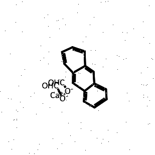 O=C[O-].O=C[O-].[Ca+2].c1ccc2cc3ccccc3cc2c1